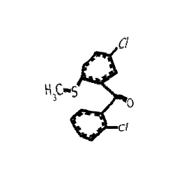 CSc1ccc(Cl)cc1C(=O)c1ccccc1Cl